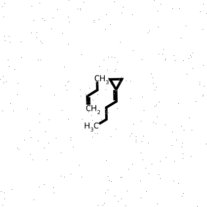 C=CCC.CCCC=C1CC1